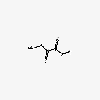 CCOC(=O)C(=O)CSC